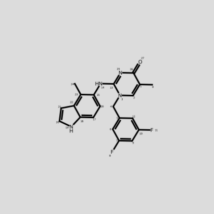 Cc1cn(Cc2cc(F)cc(F)c2)c(Nc2ccc3[nH]ccc3c2C)nc1=O